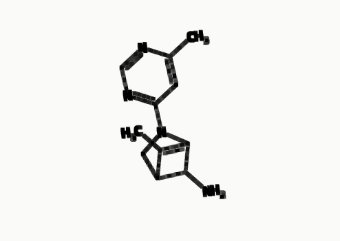 CC1=C2C(N)C1CN2c1cc(C)ncn1